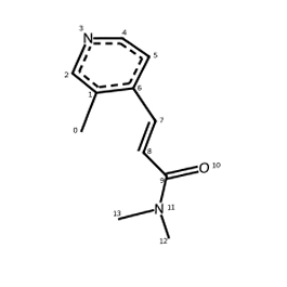 Cc1cnccc1C=CC(=O)N(C)C